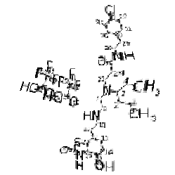 CCCC(CC)N(CCNCCc1ccc(O)c2[nH]c(=O)sc12)CCC(=O)NCCc1ccc(Cl)cc1.O=C(O)C(F)(F)F.O=C(O)C(F)(F)F